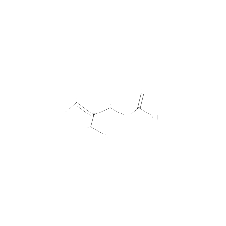 C=C(C)OC/C(=C/F)CN